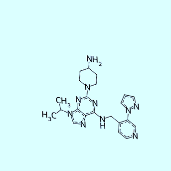 CC(C)n1cnc2c(NCc3ccncc3-n3cccn3)nc(N3CCC(N)CC3)nc21